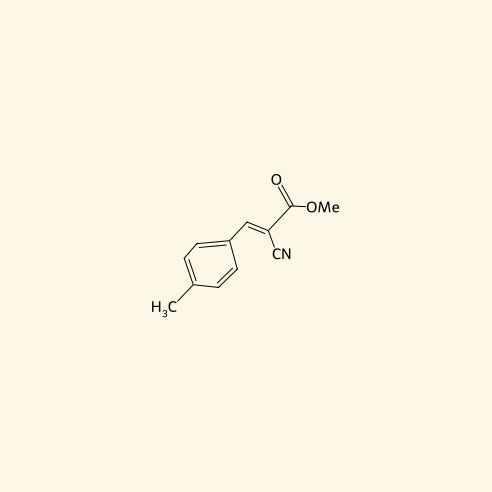 COC(=O)/C(C#N)=C/c1ccc(C)cc1